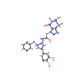 Cn1c(=O)c2c(ncn2CC(=O)Nc2nc(-c3ccc(Cl)c(Cl)c3)cn2Cc2ccccc2)n(C)c1=O